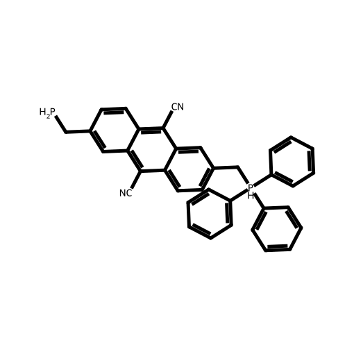 N#Cc1c2ccc(C[PH](c3ccccc3)(c3ccccc3)c3ccccc3)cc2c(C#N)c2ccc(CP)cc12